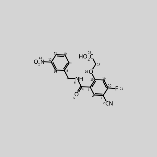 N#Cc1cc(C(=O)NCc2cccc([N+](=O)[O-])c2)c(OCC(=O)O)cc1F